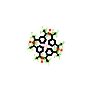 FC(F)(F)C(c1cc(C(C(F)(F)F)C(F)(F)F)cc([B-](c2cc(C(C(F)(F)F)C(F)(F)F)cc(C(C(F)(F)F)C(F)(F)F)c2)(c2cc(C(C(F)(F)F)C(F)(F)F)cc(C(C(F)(F)F)C(F)(F)F)c2)c2cc(C(C(F)(F)F)C(F)(F)F)cc(C(C(F)(F)F)C(F)(F)F)c2)c1)C(F)(F)F